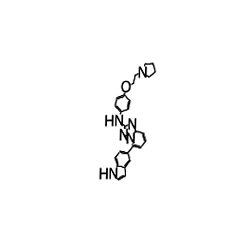 c1cc(-c2ccc3[nH]ccc3c2)n2nc(Nc3ccc(OCCN4CCCC4)cc3)nc2c1